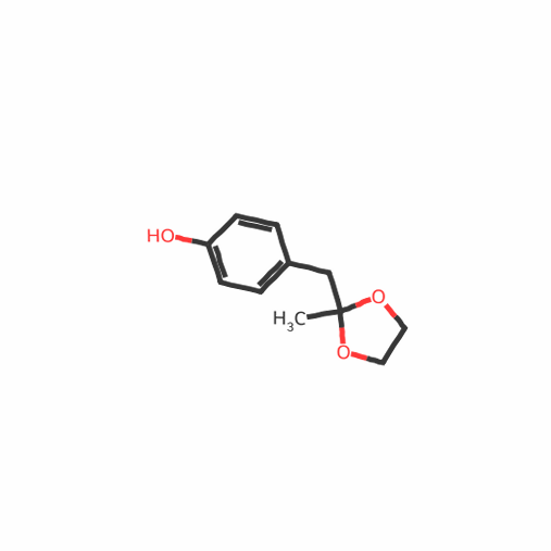 CC1(Cc2ccc(O)cc2)OCCO1